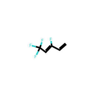 C=C/C(F)=C/C(F)(F)F